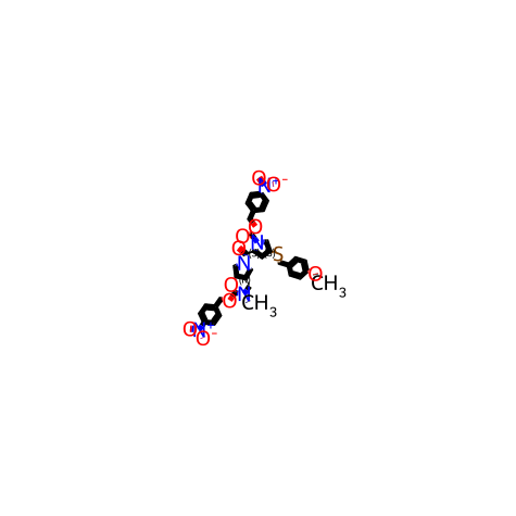 COc1ccc(CS[C@H]2C[C@@H](C(=O)N3CC[C@@H](CN(C)C(=O)OCc4ccc([N+](=O)[O-])cc4)C3)N(C(=O)OCc3ccc([N+](=O)[O-])cc3)C2)cc1